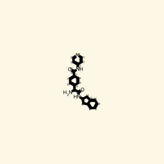 NC(C(=O)NC1Cc2ccccc2C1)c1ccc(C(=O)Nc2ccncc2)cc1